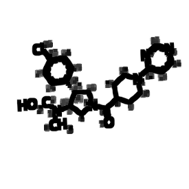 CN(C(=O)O)[C@@H]1CN(C(=O)C2CCN(c3ccncn3)CC2)C[C@H]1c1ccc(Cl)cc1